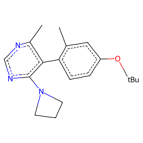 Cc1cc(OC(C)(C)C)ccc1-c1c(C)ncnc1N1CCC1